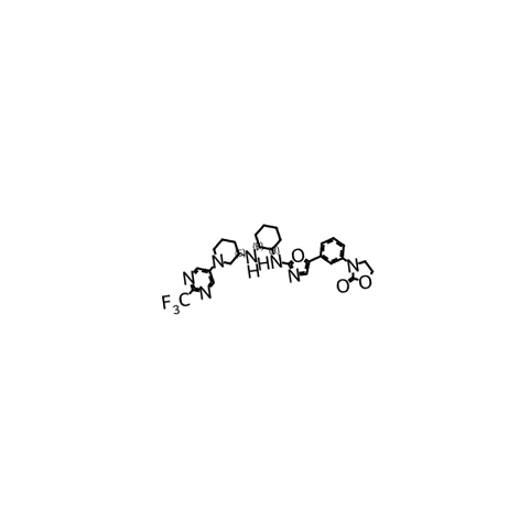 O=C1OCCN1c1cccc(-c2cnc(N[C@@H]3CCCC[C@H]3N[C@H]3CCCN(c4cnc(C(F)(F)F)nc4)C3)o2)c1